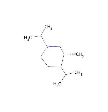 CC(C)C1CCN(C(C)C)C[C@@H]1C